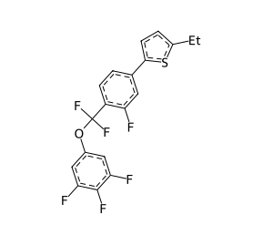 CCc1ccc(-c2ccc(C(F)(F)Oc3cc(F)c(F)c(F)c3)c(F)c2)s1